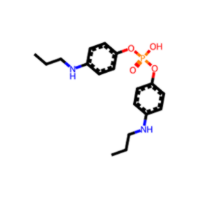 CCCNc1ccc(OP(=O)(O)Oc2ccc(NCCC)cc2)cc1